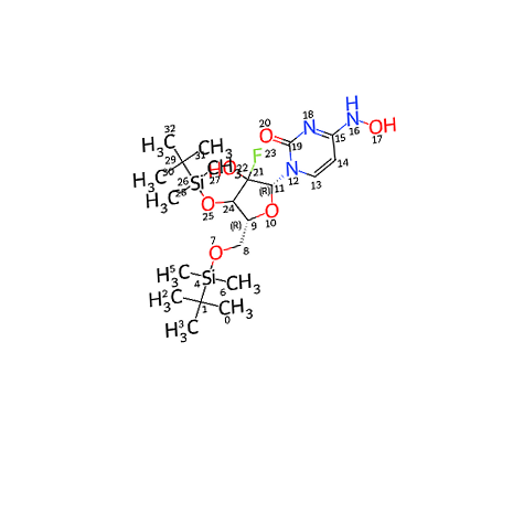 CC(C)(C)[Si](C)(C)OC[C@H]1O[C@@H](n2ccc(NO)nc2=O)C(O)(F)C1O[Si](C)(C)C(C)(C)C